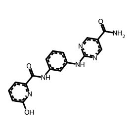 NC(=O)c1cnc(Nc2cccc(NC(=O)c3cccc(O)n3)c2)nc1